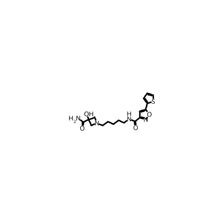 NC(=O)C1(O)CN(CCCCCNC(=O)c2cc(-c3cccs3)on2)C1